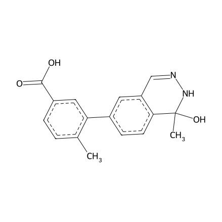 Cc1ccc(C(=O)O)cc1-c1ccc2c(c1)C=NNC2(C)O